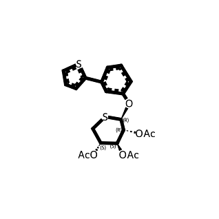 CC(=O)O[C@@H]1[C@@H](OC(C)=O)[C@H](OC(C)=O)CS[C@H]1Oc1cccc(-c2cccs2)c1